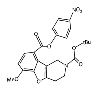 COc1ccc(C(=O)Oc2ccc([N+](=O)[O-])cc2)c2c3c(oc12)CCN(C(=O)OC(C)(C)C)C3